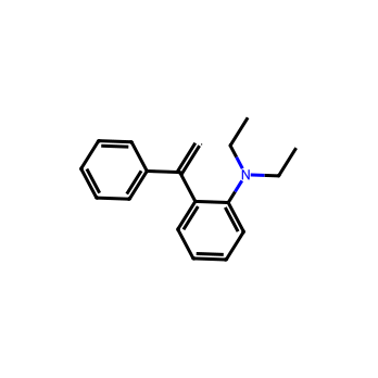 [CH]=C(c1ccccc1)c1ccccc1N(CC)CC